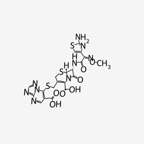 CO/N=C(\C(=O)N[C@@H]1C(=O)N2C(C(=O)O)=C(CSc3c(C(=O)O)cnc4ncnn34)CS[C@H]12)c1csc(N)n1